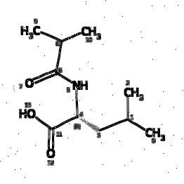 CC(C)C[C@@H](NC(=O)C(C)C)C(=O)O